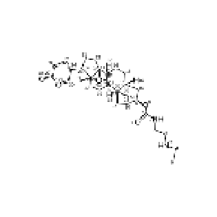 CCNCCNC(=O)O[C@H]1CC[C@@]2(C)[C@H](CC[C@@H]3[C@@H]2CC[C@]2(C)[C@@H](c4ccc(=O)oc4)CC[C@]32O)C1